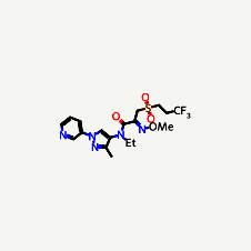 CCN(C(=O)C(CS(=O)(=O)CCC(F)(F)F)=NOC)c1cn(-c2cccnc2)nc1C